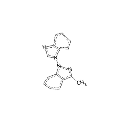 Cc1nn(-n2cnc3ccccc32)c2ccccc12